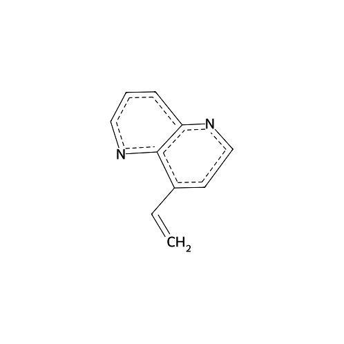 C=Cc1ccnc2cccnc12